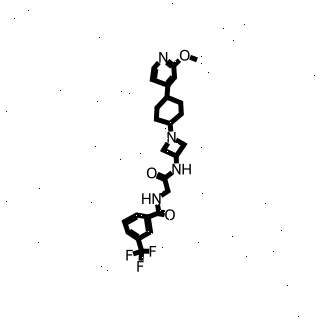 COc1cc(C2CCC(N3CC(NC(=O)CNC(=O)c4cccc(C(F)(F)F)c4)C3)CC2)ccn1